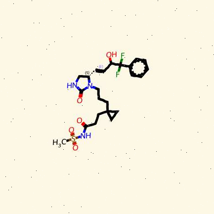 CS(=O)(=O)NC(=O)CCC1(CCCN2C(=O)NC[C@@H]2/C=C/C(O)C(F)(F)c2ccccc2)CC1